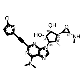 CN[C@H]1OC1[C@H]1[C@H](C)[C@@H](n2cnc3c(N(C)C)nc(C#Cc4ccc(Cl)s4)nc32)[C@H](O)[C@@H]1O